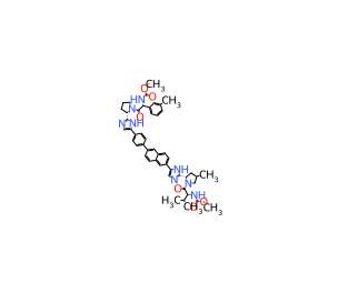 COC(=O)N[C@H](C(=O)N1CC(C)C[C@H]1c1ncc(-c2ccc3cc(-c4ccc(-c5cnc([C@@H]6CCCN6C(=O)[C@H](NC(=O)OC)c6cccc(C)c6)[nH]5)cc4)ccc3c2)[nH]1)C(C)C